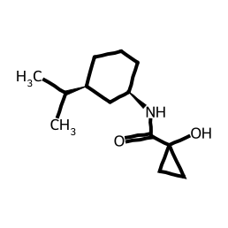 CC(C)[C@H]1CCC[C@@H](NC(=O)C2(O)CC2)C1